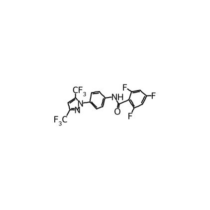 O=C(Nc1ccc(-n2nc(C(F)(F)F)cc2C(F)(F)F)cc1)c1c(F)cc(F)cc1F